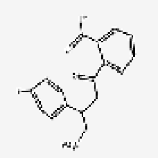 CC(C)C(=O)c1ccccc1C(=O)CC(CC(=O)O)c1ccc(F)cc1